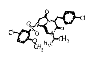 COc1ccc(Cl)cc1S(=O)(=O)N1CC(=O)N2C1=CN(C(C)C)C(=O)C2Cc1ccc(Cl)cc1